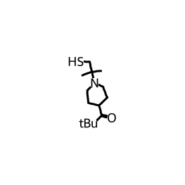 CC(C)(C)C(=O)C1CCN(C(C)(C)CS)CC1